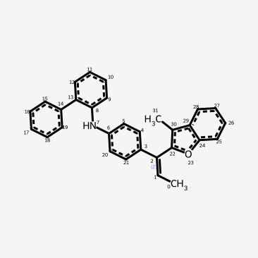 C/C=C(/c1ccc(Nc2ccccc2-c2ccccc2)cc1)c1oc2ccccc2c1C